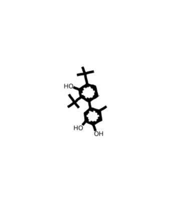 Cc1cc(O)c(O)cc1-c1[c]cc(C(C)(C)C)c(O)c1C(C)(C)C